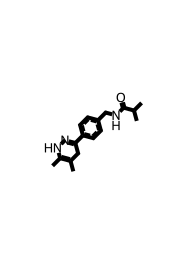 CC1=C(C)NN=C(c2ccc(CNC(=O)C(C)C)cc2)C1